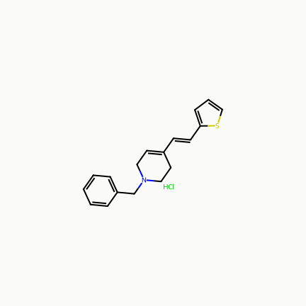 C(=Cc1cccs1)C1=CCN(Cc2ccccc2)CC1.Cl